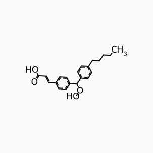 CCCCCc1ccc(C(OO)c2ccc(C=CC(=O)O)cc2)cc1